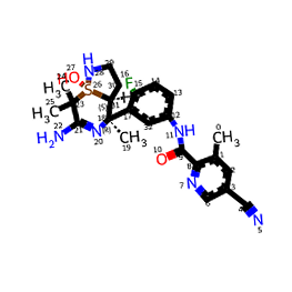 Cc1cc(C#N)cnc1C(=O)Nc1ccc(F)c([C@@]2(C)N=C(N)C(C)(C)S3(O)NCC[C@@H]23)c1